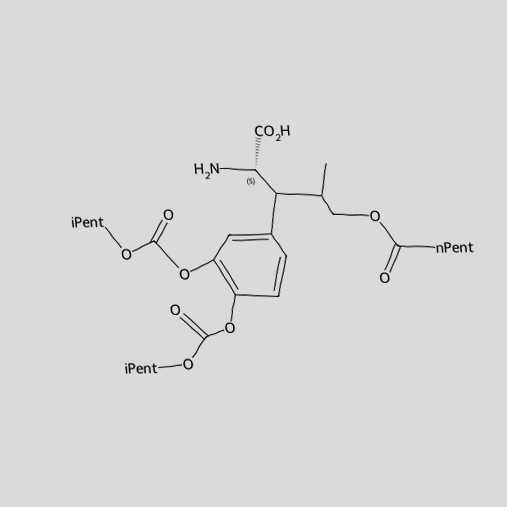 CCCCCC(=O)OCC(C)C(c1ccc(OC(=O)OC(C)CCC)c(OC(=O)OC(C)CCC)c1)[C@H](N)C(=O)O